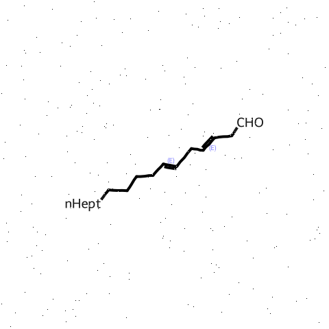 CCCCCCCCCCC/C=C/C/C=C/CC=O